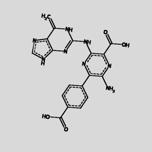 C=C1NC(Nc2nc(-c3ccc(C(=O)O)cc3)c(N)nc2C(=O)O)=Nc2[nH]cnc21